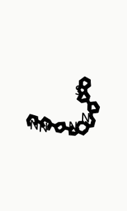 C1=Cc2ccc(-c3cccc(-c4ccc5sc6ccccc6c5c4)c3)nc2Cc2nc(C3=CC=C(c4ccc(-c5ccccn5)nc4)CC3)ccc21